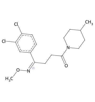 CO/N=C(/CCC(=O)N1CCC(C)CC1)c1ccc(Cl)c(Cl)c1